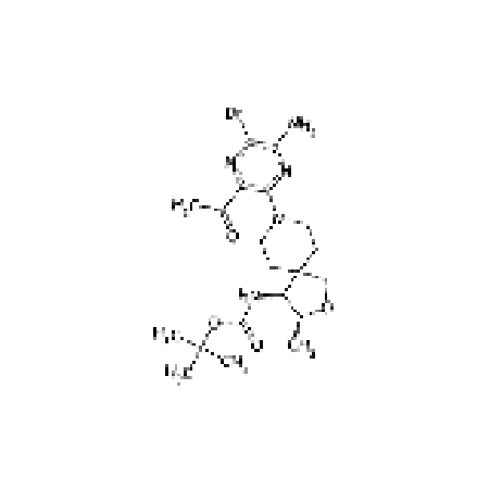 CC(=O)c1nc(Br)c(N)nc1N1CCC2(CC1)CO[C@@H](C)[C@H]2NC(=O)OC(C)(C)C